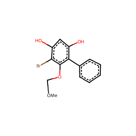 COCOc1c(Br)c(O)cc(O)c1-c1ccccc1